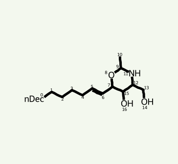 CCCCCCCCCCCCCCC=CC1OC(C)NC(CO)C1O